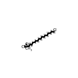 C[Si](C)(Cl)CCCCCCCCCCCCCCCCCCl